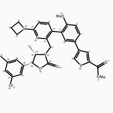 COC(=O)c1cc(-c2ccc(OC)c(-c3ccc(N4CCC4)nc3CN3C(=O)O[C@H](c4cc(C)cc(C(F)(F)F)c4)[C@@H]3C)c2)cs1